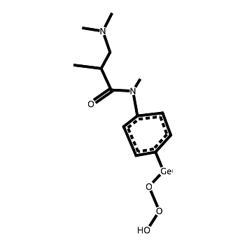 CC(CN(C)C)C(=O)N(C)c1cc[c]([Ge][O]OO)cc1